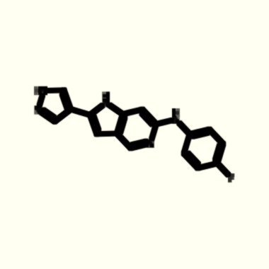 Fc1ccc(Nc2cc3[nH]c(-c4cn[nH]c4)cc3cn2)cc1